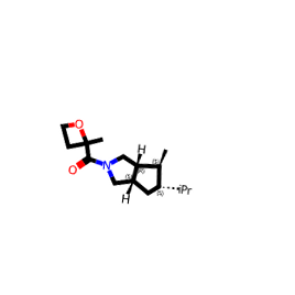 CC(C)[C@@H]1C[C@@H]2CN(C(=O)C3(C)CCO3)C[C@@H]2[C@H]1C